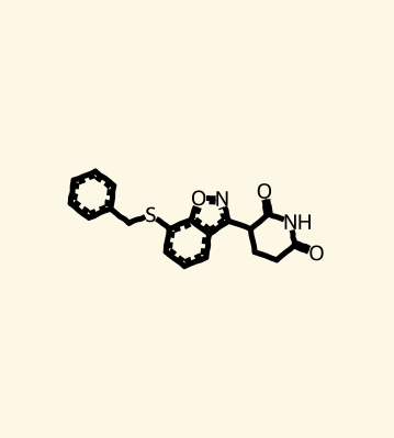 O=C1CCC(c2noc3c(SCc4ccccc4)cccc23)C(=O)N1